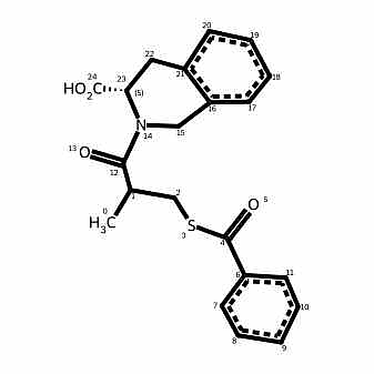 CC(CSC(=O)c1ccccc1)C(=O)N1Cc2ccccc2C[C@H]1C(=O)O